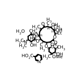 CC[C@H]1OC(=O)[C@H](C)[C@@H](O[C@H]2C[C@@](C)(OC)[C@@H](O)[C@H](C)O2)[C@H](C)[C@@H](O[C@@H]2O[C@H](C)C[C@H](N(C)C)[C@H]2O)[C@](C)(O)C[C@@H](C)C(=O)[C@H](C)[C@@H](O)[C@]1(C)O.O.O=C(O)c1cccnc1